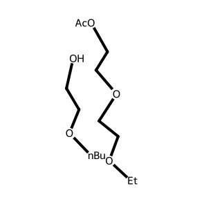 CCCCOCCO.CCOCCOCCOC(C)=O